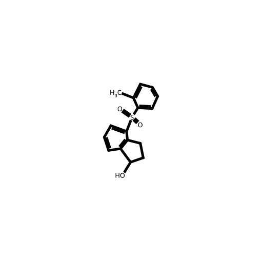 Cc1ccccc1S(=O)(=O)c1cccc2c1CCC2O